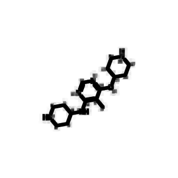 Cc1c(NC2CCNCC2)ncnc1OC1CCNCC1